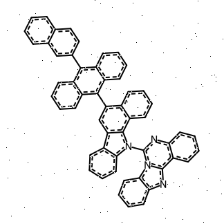 c1ccc2cc(-c3c4ccccc4c(-c4cc5c6ccccc6n(-c6nc7ccccc7c7nc8ccccc8n67)c5c5ccccc45)c4ccccc34)ccc2c1